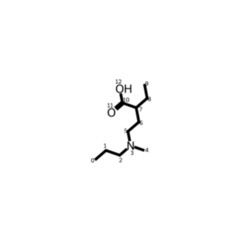 CCCN(C)CCC(CC)C(=O)O